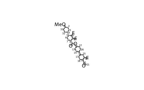 COc1ccc(-c2ccc(C(=O)Oc3ccc(-c4ccc(C5CO5)c(F)c4)cc3)c(F)c2F)cc1